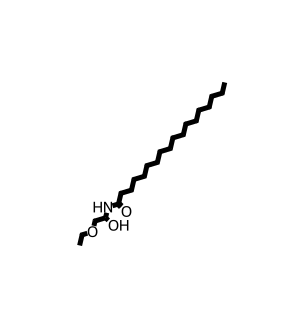 CCCCCCCCCCCCCCCCCC(=O)NC(O)COCC